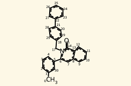 Cc1cccc(-c2cc3ccccc3c(=O)n2Cc2ccc(-c3ccccc3)cc2)c1